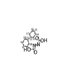 O=C(O)N=NC(=O)O.c1ccc(-c2ccccc2)cc1